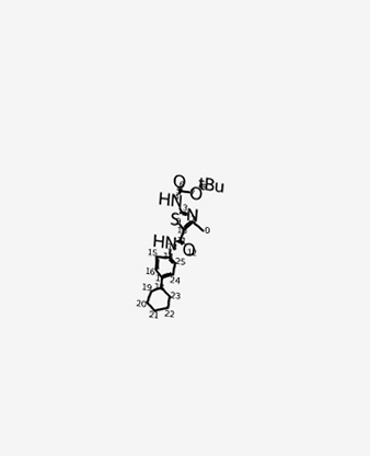 Cc1nc(NC(=O)OC(C)(C)C)sc1C(=O)Nc1ccc(C2CCCCC2)cc1